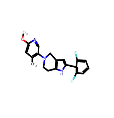 Cc1cc(OC(F)(F)F)ncc1N1CCc2[nH]c(-c3c(F)cccc3F)cc2C1